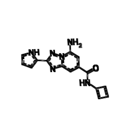 Nc1cc(C(=O)NC2=CC=C2)cc2nc(-c3ccc[nH]3)nn12